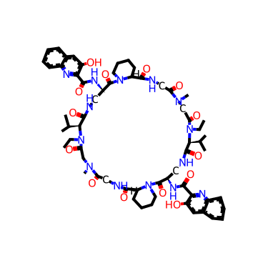 CCN1C(=O)CN(C)C(=O)CNC(=O)[C@@H]2CCCCN2C(=O)[C@H](NC(=O)c2nc3ccccc3cc2O)CNC(=O)[C@H](C(C)C)N(CC)C(=O)CN(C)C(=O)CNC(=O)[C@@H]2CCCCN2C(=O)[C@H](NC(=O)c2nc3ccccc3cc2O)CNC(=O)[C@@H]1C(C)C